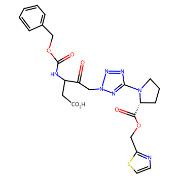 O=C(O)CC(NC(=O)OCc1ccccc1)C(=O)Cn1nnc(N2CCC[C@@H]2C(=O)OCc2nccs2)n1